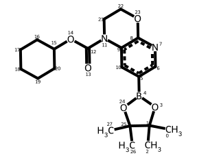 CC1(C)OB(c2cnc3c(c2)N(C(=O)OC2CCCCC2)CCO3)OC1(C)C